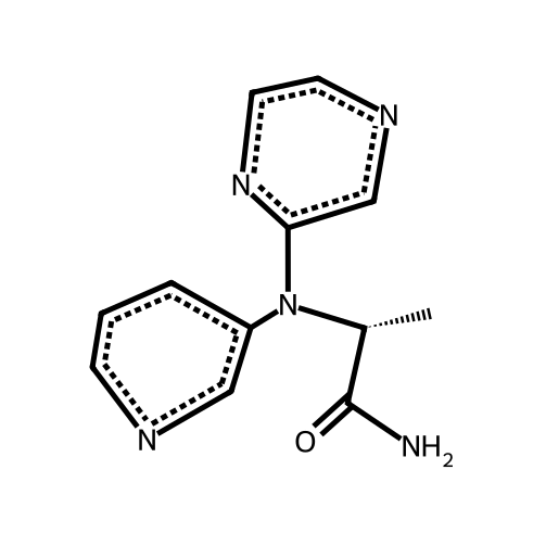 C[C@H](C(N)=O)N(c1cccnc1)c1cnccn1